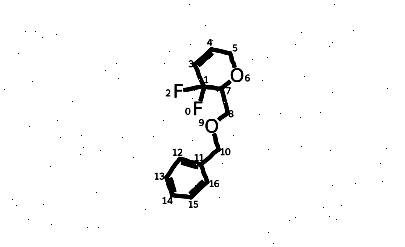 FC1(F)C=CCOC1COCc1ccccc1